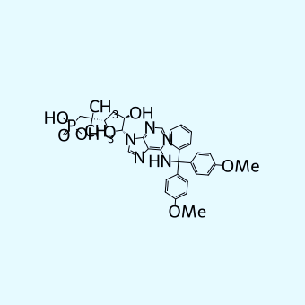 COc1ccc(C(Nc2ncnc3c2ncn3[C@@H]2O[C@H](C(C)(C)CP(=O)(O)O)C[C@H]2O)(c2ccccc2)c2ccc(OC)cc2)cc1